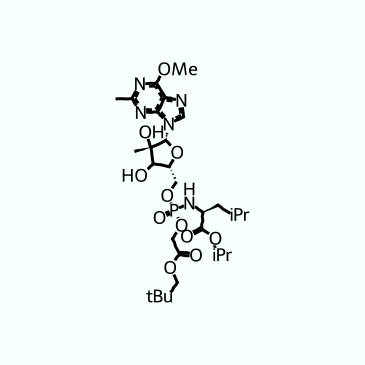 COc1nc(C)nc2c1ncn2[C@@H]1O[C@H](COP(=O)(N[C@@H](CC(C)C)C(=O)OC(C)C)OCC(=O)OCC(C)(C)C)C(O)[C@]1(C)O